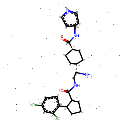 NC(CNC(=O)C1CCCC1c1ccc(F)cc1Cl)[C@H]1CC[C@H](C(=O)Nc2ccncc2)CC1